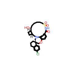 O=C1NS(=O)(=O)CCCCC[C@@H](O)[C@@H]2CC[C@H]2CN2C[C@@]3(CCCc4cc(Cl)ccc43)COc3ccc1cc32